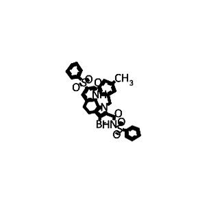 Cc1cccc(Cn2c(C(=O)NS(=O)(=O)c3ccccc3)c(Br)c3c2-c2[nH]c(=O)c(S(=O)(=O)c4ccccc4)cc2CC3)c1